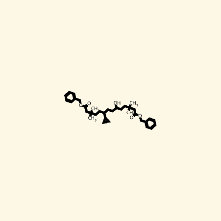 CC(C)(CCC(O)CCC(CCC(C)(C)CC(=O)OCc1ccccc1)C1CC1)CC(=O)OCc1ccccc1